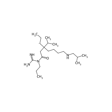 CC[CH]C(CCCCNCC(C)C)(CC(=O)N(CCC)C(=N)N)C(C)C